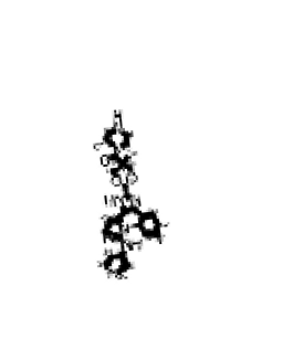 C[C@@H]1CNCCN1C(=O)C1(C)COC(c2nc(-c3ccc(F)cc3)c(-c3ccnc(Nc4ccncc4)n3)[nH]2)OC1